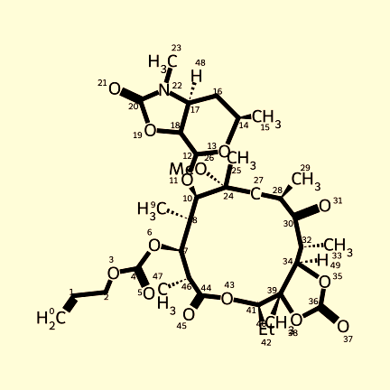 C=CCOC(=O)O[C@H]1[C@H](C)[C@@H](OC2O[C@H](C)C[C@H]3C2OC(=O)N3C)[C@](C)(OC)C[C@@H](C)C(=O)[C@H](C)[C@H]2OC(=O)O[C@]2(C)[C@@H](CC)OC(=O)[C@@H]1C